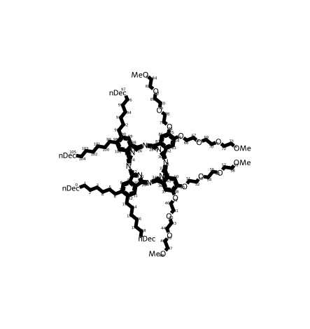 CCCCCCCCCCCCCCCCc1cc2c(cc1CCCCCCCCCCCCCCCC)-c1nc-2nc2[nH]c(nc3nc(nc4[nH]c(n1)c1cc(OCCOCCOCCOC)c(OCCOCCOCCOC)cc41)-c1cc(OCCOCCOCCOC)c(OCCOCCOCCOC)cc1-3)c1cc(CCCCCCCCCCCCCCCC)c(CCCCCCCCCCCCCCCC)cc21